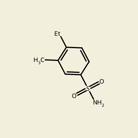 CCc1ccc(S(N)(=O)=O)cc1C